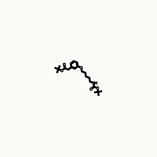 CC(C)(C)OC(=O)Cc1cccc(OCCCCCNC(=O)OC(C)(C)C)c1